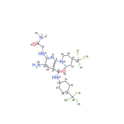 CN(C)C(=O)CNc1nc(N2CCC(C(F)(F)F)CC2)c(C(=O)NC2CCC(C(F)(F)F)CC2)cc1N